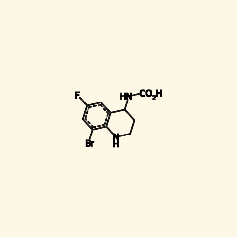 O=C(O)NC1CCNc2c(Br)cc(F)cc21